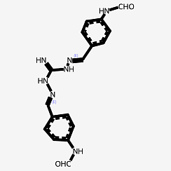 N=C(N/N=C/c1ccc(NC=O)cc1)N/N=C/c1ccc(NC=O)cc1